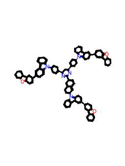 c1ccc2c(c1)oc1ccc(-c3ccc4c(c3)c3ccccc3n4-c3ccc(-c4cc(-c5ccc(-n6c7ccccc7c7cc(-c8ccc9oc%10ccccc%10c9c8)ccc76)cc5)nc(-c5ccc6cc(-n7c8ccccc8c8cc(-c9ccc%10oc%11ccccc%11c%10c9)ccc87)ccc6c5)n4)cc3)cc12